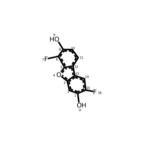 Oc1cc2oc3c(F)c(O)ccc3c2cc1F